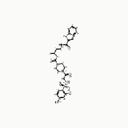 CC(CCNC(=O)c1cc2ccccc2s1)CC(=O)N1CCN(C(=O)CNS(=O)(=O)c2ccc(Cl)cc2Cl)CC1